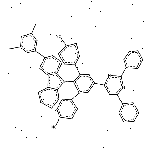 Cc1cc(C)cc(-c2ccc3c(c2)c2ccccc2n3-c2c(-c3ccc(C#N)cc3)cc(-c3cc(-c4ccccc4)nc(-c4ccccc4)n3)cc2-c2ccc(C#N)cc2)c1